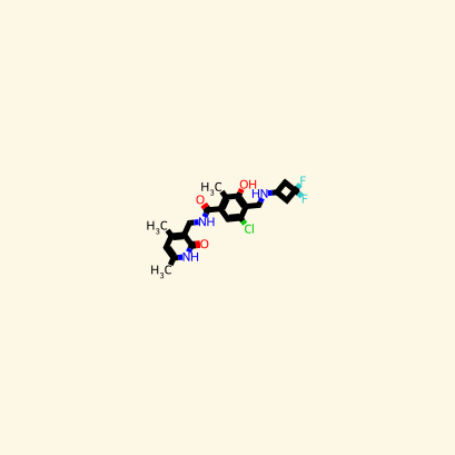 Cc1cc(C)c(CNC(=O)c2cc(Cl)c(CNC3CC(F)(F)C3)c(O)c2C)c(=O)[nH]1